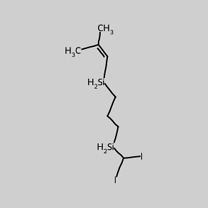 CC(C)=C[SiH2]CCC[SiH2]C(I)I